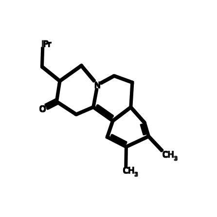 CC1=CC2=C3CC(=O)C(CC(C)C)CN3CCC2C=C1C